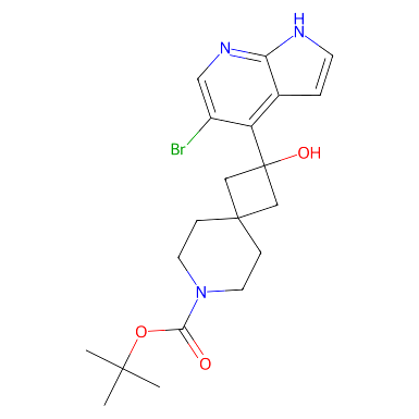 CC(C)(C)OC(=O)N1CCC2(CC1)CC(O)(c1c(Br)cnc3[nH]ccc13)C2